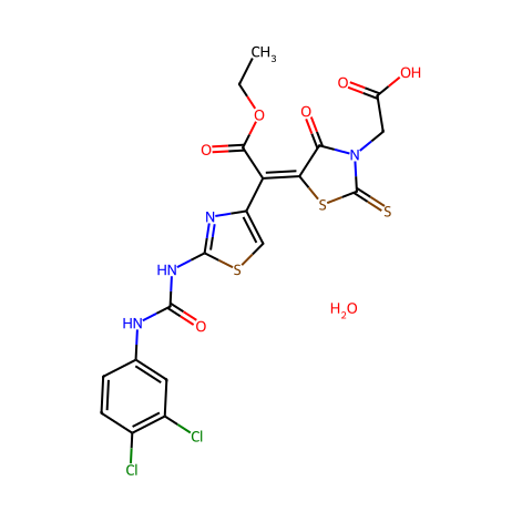 CCOC(=O)/C(=C1/SC(=S)N(CC(=O)O)C1=O)c1csc(NC(=O)Nc2ccc(Cl)c(Cl)c2)n1.O